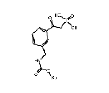 CC(C)(C)OC(=O)NCc1cccc(C(=O)CP(=O)(O)O)c1